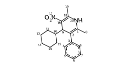 CC1=C(c2ccccc2)C(C2CCCCC2)C([N+](=O)[O-])=C(C)N1